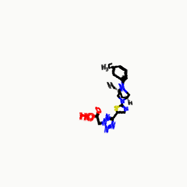 Cc1cccc(N2C[C@@H]3C[C@H]2CN3c2ncc(-c3nnn(CC(=O)O)n3)s2)c1